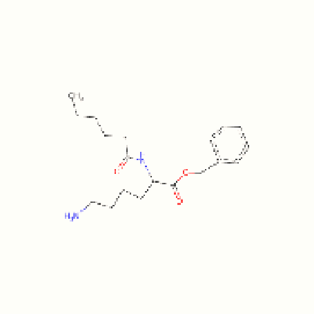 CCCCCC(=O)NC(CCCCN)C(=O)OCc1ccccc1